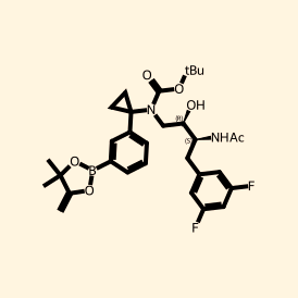 C=C1OB(c2cccc(C3(N(C[C@@H](O)[C@H](Cc4cc(F)cc(F)c4)NC(C)=O)C(=O)OC(C)(C)C)CC3)c2)OC1(C)C